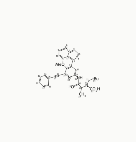 COc1c(-c2cccc3ncccc23)cc(NC(=O)C(C)N(CC(C)(C)C)C(=O)O)nc1C#Cc1ccccc1